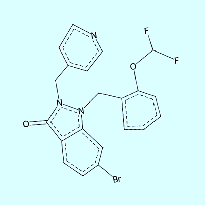 O=c1c2ccc(Br)cc2n(Cc2ccccc2OC(F)F)n1Cc1ccncc1